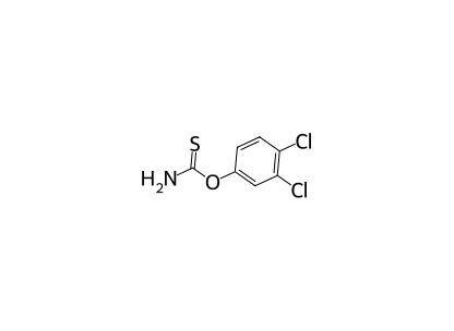 NC(=S)Oc1ccc(Cl)c(Cl)c1